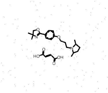 CC1CCC(C)N1CCCOc1ccc(C2=NC(C)(C)CO2)cc1.O=C(O)C=CC(=O)O